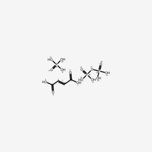 O=C(O)/C=C/C(=O)O.O=P(O)(O)O.O=P(O)(O)OP(=O)(O)O